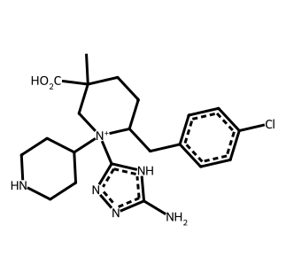 CC1(C(=O)O)CCC(Cc2ccc(Cl)cc2)[N+](c2nnc(N)[nH]2)(C2CCNCC2)C1